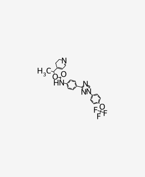 CC(OC(=O)Nc1ccc(-c2ncn(-c3ccc(OC(F)(F)F)cc3)n2)cc1)C1=CC=NCC1